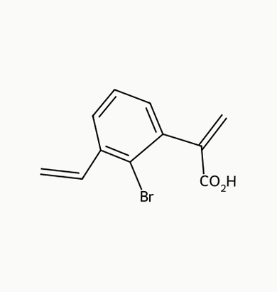 C=Cc1cccc(C(=C)C(=O)O)c1Br